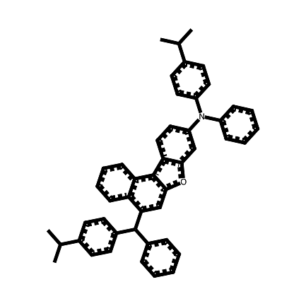 CC(C)c1ccc(C(c2ccccc2)c2cc3oc4cc(N(c5ccccc5)c5ccc(C(C)C)cc5)ccc4c3c3ccccc23)cc1